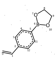 C=Cc1ccc(B2OCCO2)cc1